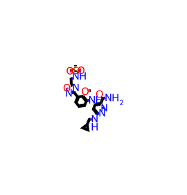 COc1c(Nc2cc(NCC3CC3)nnc2C(N)=O)cccc1-c1noc(CNS(C)(=O)=O)n1